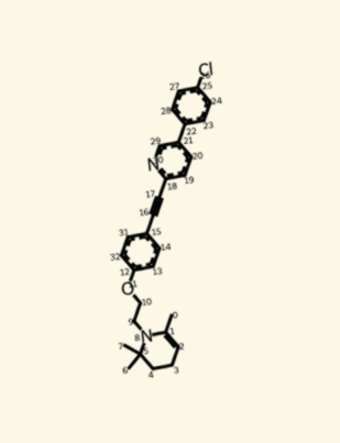 CC1=CCCC(C)(C)N1CCOc1ccc(C#Cc2ccc(-c3ccc(Cl)cc3)cn2)cc1